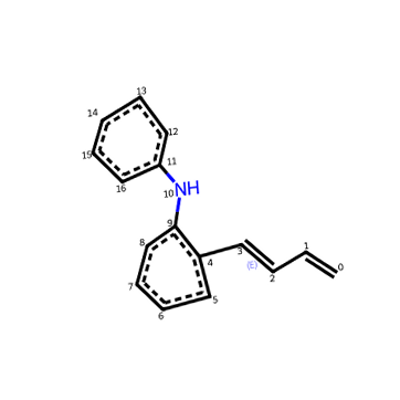 C=C/C=C/c1ccccc1Nc1ccccc1